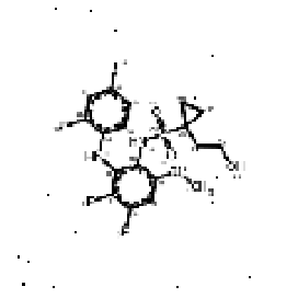 COc1cc(F)c(F)c(Nc2ccc(I)cc2F)c1NS(=O)(=O)C1(CCO)CC1